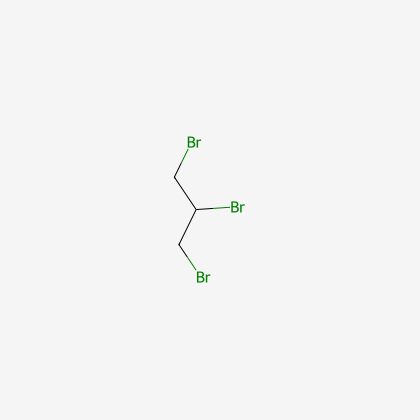 BrCC(Br)CBr